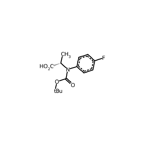 C[C@@H](C(=O)O)N(C(=O)OC(C)(C)C)c1ccc(F)cc1